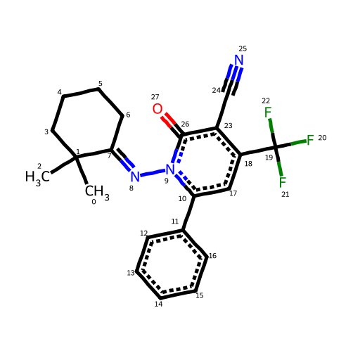 CC1(C)CCCCC1=Nn1c(-c2ccccc2)cc(C(F)(F)F)c(C#N)c1=O